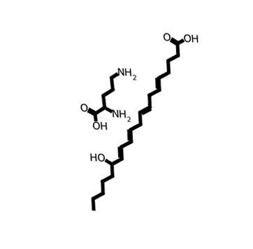 CCCCCC(O)C=CC=CCC=CCC=CCCCC(=O)O.NCCCC(N)C(=O)O